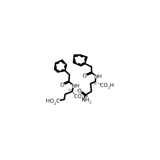 NC(=O)CC[C@H](NC(=O)Cc1ccccc1)C(=O)O.O=C(O)CC[C@H](NC(=O)Cc1ccccc1)C(=O)O